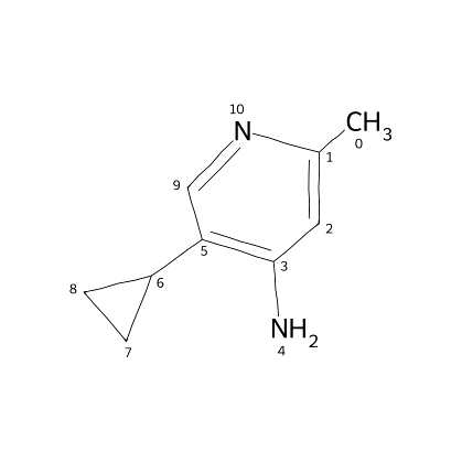 Cc1cc(N)c(C2CC2)cn1